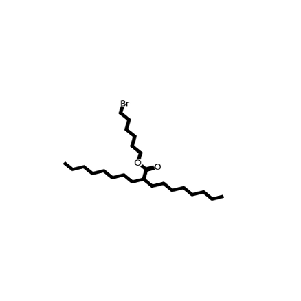 CCCCCCCCC(CCCCCCCC)C(=O)OCCCCCCBr